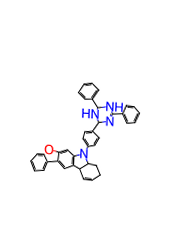 C1=CC2c3cc4c(cc3N(c3ccc(C5N=C(c6ccccc6)NC(c6ccccc6)N5)cc3)C2CC1)oc1ccccc14